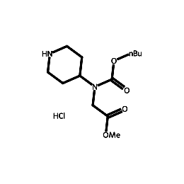 CCCCOC(=O)N(CC(=O)OC)C1CCNCC1.Cl